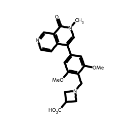 COc1cc(-c2cn(C)c(=O)c3cnccc23)cc(OC)c1CN1CC(C(=O)O)C1